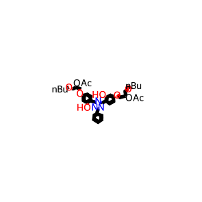 CCCCOCC(COc1ccc(-c2nc(-c3ccccc3)nc(-c3ccc(OCC(COCCCC)OC(C)=O)cc3O)n2)c(O)c1)OC(C)=O